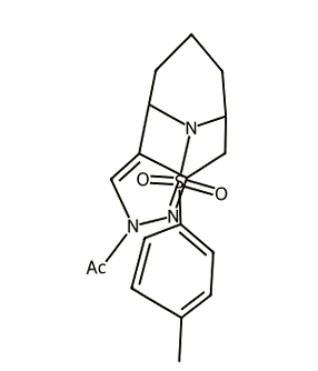 CC(=O)n1cc2c(n1)CC1CCCC2N1S(=O)(=O)c1ccc(C)cc1